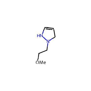 COCCN1CC=CN1